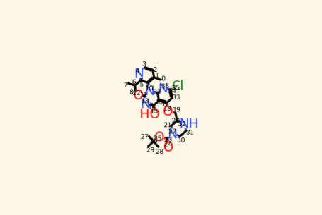 Cc1ccnc(C(C)C)c1-n1c(=O)nc(O)c2c(OCC3CN(C(=O)OC(C)(C)C)CCN3)cc(Cl)nc21